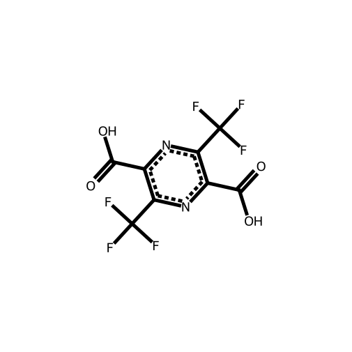 O=C(O)c1nc(C(F)(F)F)c(C(=O)O)nc1C(F)(F)F